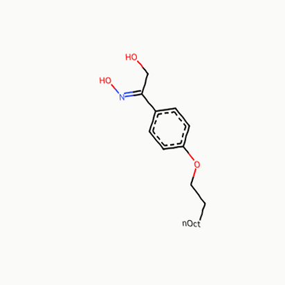 CCCCCCCCCCOc1ccc(C(CO)=NO)cc1